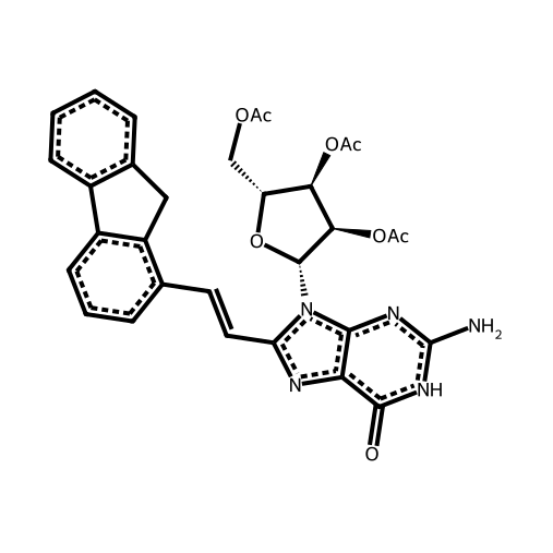 CC(=O)OC[C@H]1O[C@@H](n2c(C=Cc3cccc4c3Cc3ccccc3-4)nc3c(=O)[nH]c(N)nc32)[C@H](OC(C)=O)[C@@H]1OC(C)=O